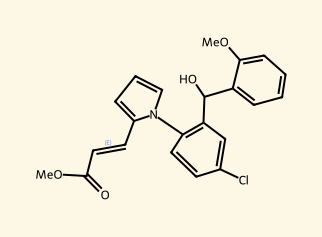 COC(=O)/C=C/c1cccn1-c1ccc(Cl)cc1C(O)c1ccccc1OC